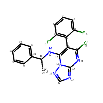 Fc1cccc(F)c1-c1c(Cl)nc2ncnn2c1NC(c1ccccc1)C(F)(F)F